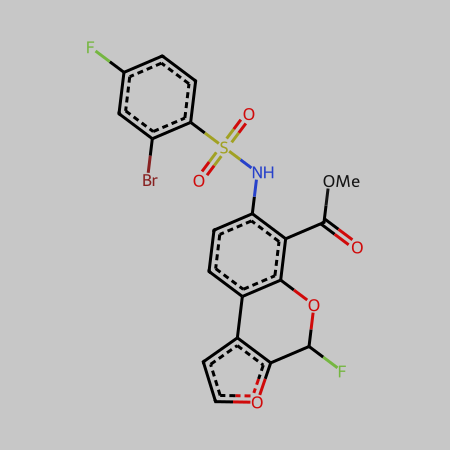 COC(=O)c1c(NS(=O)(=O)c2ccc(F)cc2Br)ccc2c1OC(F)c1occc1-2